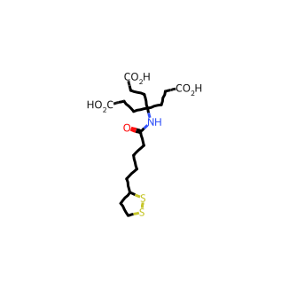 O=C(O)CCC(CCC(=O)O)(CCC(=O)O)NC(=O)CCCCC1CCSS1